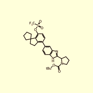 CC(C)(C)OC(=O)N1CCCC1c1nc2cc(-c3ccc(OS(=O)(=O)C(F)(F)F)c4c3CCC43CCCC3)ccc2[nH]1